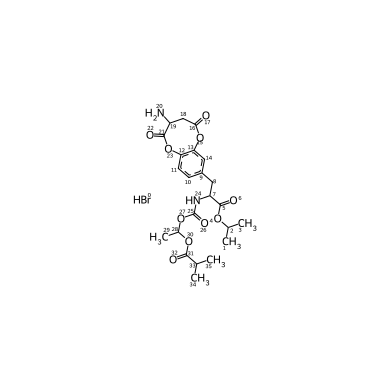 Br.CC(C)OC(=O)C(Cc1ccc2c(c1)OC(=O)CC(N)C(=O)O2)NC(=O)OC(C)OC(=O)C(C)C